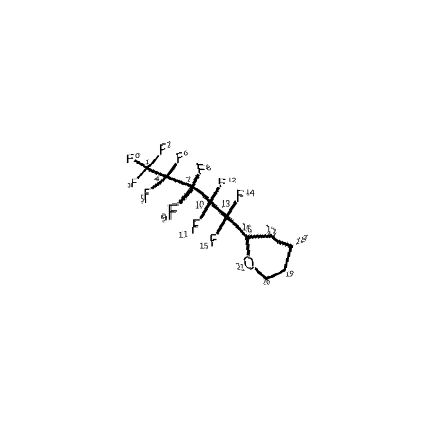 FC(F)(F)C(F)(F)C(F)(F)C(F)(F)C(F)(F)C1CCCCO1